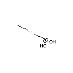 CCCCCCCCCCCCCCCCCCCCCCCCC=CN(OCCCO)OCCCO